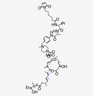 CC[C@H](O)[C@@H](C)[C@H]1O[C@@H]1CC(C)/C=C/C=C(\C)[C@H]1OC(=O)C[C@H](O)CC[C@@](C)(OC)[C@@H](OC(=O)N2CC[N+](C)(Cc3ccc(NC(=O)C(C)NC(=O)C(NC(=O)CCCCCN4C(=O)C=CC4=O)C(C)C)cc3)CC2)/C=C/[C@@H]1C